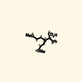 CCCC(C(=O)O)N(CCOC)CCOC